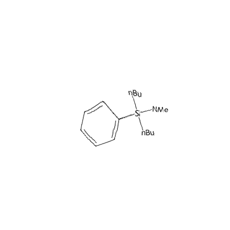 CCCC[Si](CCCC)(NC)c1ccccc1